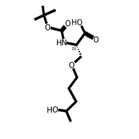 CC(O)CCCOC[C@H](NC(=O)OC(C)(C)C)C(=O)O